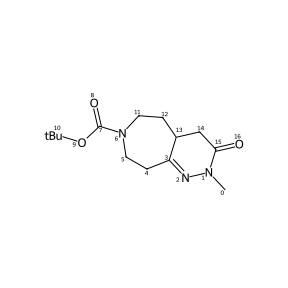 CN1N=C2CCN(C(=O)OC(C)(C)C)CCC2CC1=O